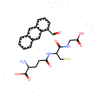 NC(CCC(=O)NC(CS)C(=O)NCC(=O)O)C(=O)O.O=Cc1cccc2cc3ccccc3cc12